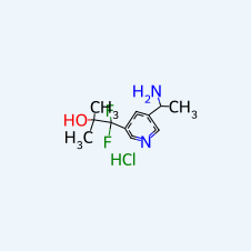 CC(N)c1cncc(C(F)(F)C(C)(C)O)c1.Cl